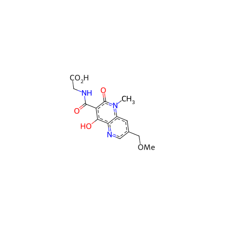 COCc1cnc2c(O)c(C(=O)NCC(=O)O)c(=O)n(C)c2c1